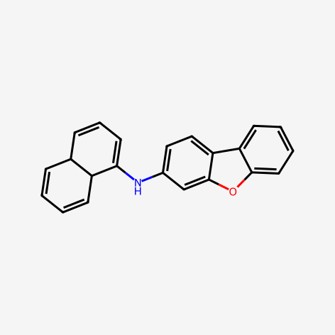 C1=CC2C=CC=C(Nc3ccc4c(c3)oc3ccccc34)C2C=C1